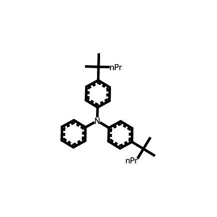 CCCC(C)(C)c1ccc(N(c2ccccc2)c2ccc(C(C)(C)CCC)cc2)cc1